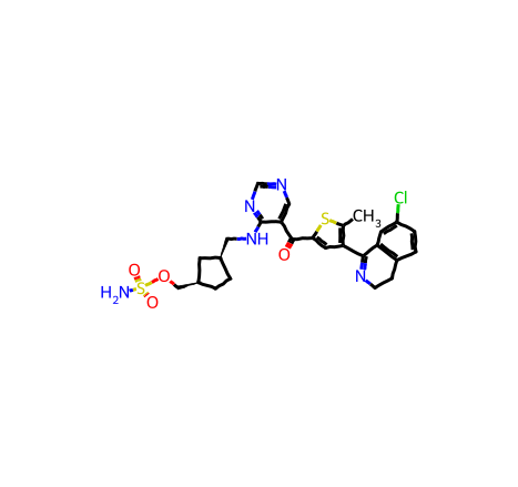 Cc1sc(C(=O)c2cncnc2NC[C@H]2CC[C@@H](COS(N)(=O)=O)C2)cc1C1=NCCc2ccc(Cl)cc21